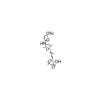 CC(=O)O[C@@H](C)/C=C\C(=O)N[C@@H]1CC(C)[C@H](C/C=C(C)/C=C/C2OC(C)(C)C[C@]3(CO3)[C@H]2O)OC1C